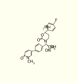 C[C@@H](c1ccc(-c2ccc(=O)n(C)c2)cc1)N1CC[C@](CC(C)(C)C)(c2ccc(F)cc2)OC1=O.O=NO